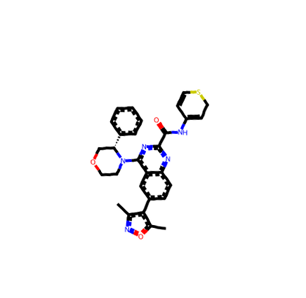 Cc1noc(C)c1-c1ccc2nc(C(=O)NC3=CCSC=C3)nc(N3CCOC[C@@H]3c3ccccc3)c2c1